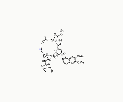 COc1cc2ccnc(O[C@@H]3C[C@H]4C(=O)N[C@]5(C(=O)NS(=O)(=O)C6(CF)CC6)CC5/C=C\CC[C@@H](C)C[C@@H](C)[C@H](NC(=O)OC(C)(C)C)C(=O)N4C3)c2cc1OC